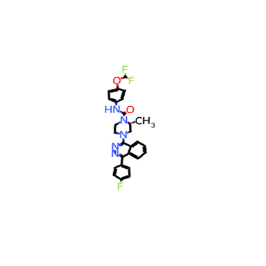 C[C@H]1CN(c2nnc(-c3ccc(F)cc3)c3ccccc23)CCN1C(=O)Nc1ccc(OC(F)F)cc1